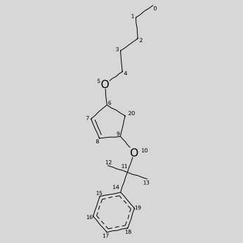 CCCCCOC1C=CC(OC(C)(C)c2ccccc2)C1